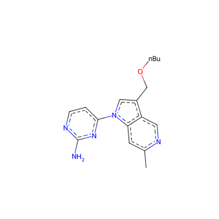 CCCCOCc1cn(-c2ccnc(N)n2)c2cc(C)ncc12